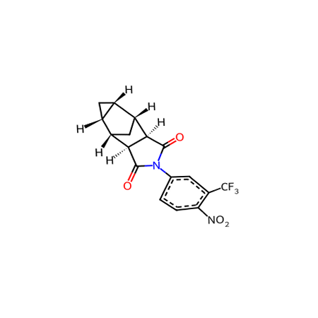 O=C1[C@@H]2[C@@H]3C[C@@H]([C@@H]4C[C@@H]43)[C@@H]2C(=O)N1c1ccc([N+](=O)[O-])c(C(F)(F)F)c1